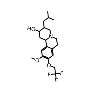 COc1cc2c(cc1OCC(F)(F)F)CCN1CC(CC(C)C)C(O)CC21